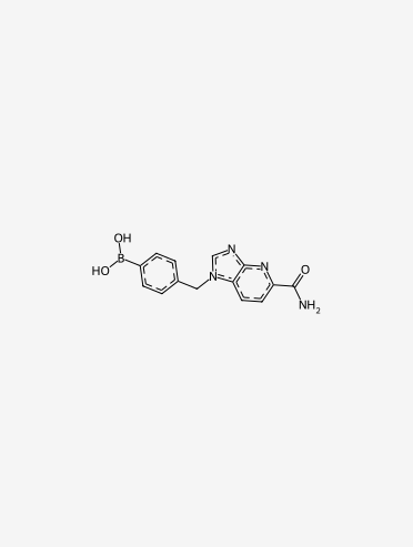 NC(=O)c1ccc2c(ncn2Cc2ccc(B(O)O)cc2)n1